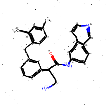 Cc1ccc(Cc2cccc(C(CN)C(=O)Nc3ccc4cnccc4c3)c2)c(C)c1